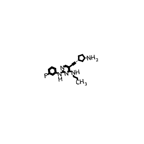 CCCNc1nc(Nc2cccc(F)c2)ncc1C#C[C@@H]1CC[C@H](N)C1